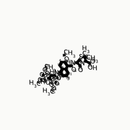 CCOc1ccc2c(NCCC(O)(P(=O)(OOC)OOC)P(=O)(OOC)OOC)cccc2c1C(=O)NC1C(=O)N2C1SC(C)(C)C2C(=O)O